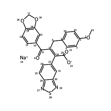 COc1ccc(CC(C(=O)c2ccc3c(c2)OCO3)=C(C(=O)[O-])c2ccc3nsnc3c2)cc1.[Na+]